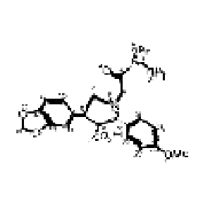 CCCN(CCC)C(=O)CN1CC(c2ccc3c(c2)OCO3)[C@H](C(=O)O)[C@H]1c1ccc(OC)cc1